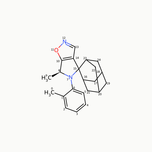 Cc1ccccc1N1[C@@H](C)c2oncc2C12C1CC3CC(C1)CC2C3